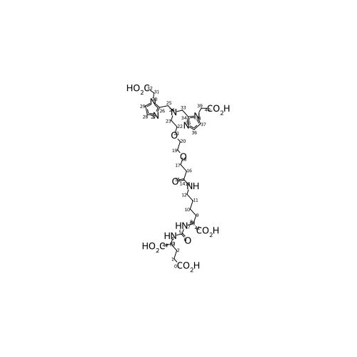 O=C(O)CC[C@H](NC(=O)N[C@H](CCCCNC(=O)CCOCCOCCN(Cc1nccn1CC(=O)O)Cc1nccn1CC(=O)O)C(=O)O)C(=O)O